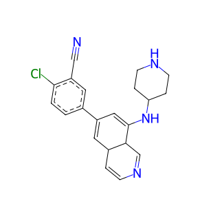 N#Cc1cc(C2=CC3C=CN=CC3C(NC3CCNCC3)=C2)ccc1Cl